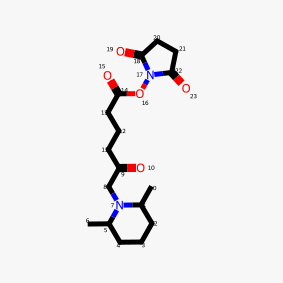 CC1CCCC(C)N1CC(=O)CCCC(=O)ON1C(=O)CCC1=O